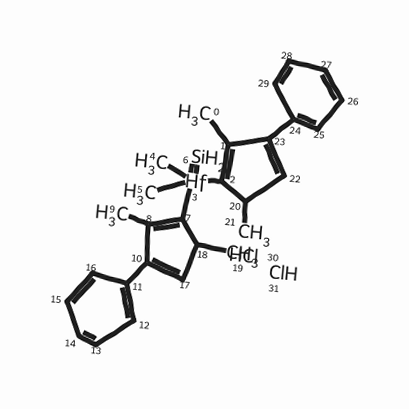 CC1=[C]([Hf]([CH3])([CH3])(=[SiH2])[C]2=C(C)C(c3ccccc3)=CC2C)C(C)C=C1c1ccccc1.Cl.Cl